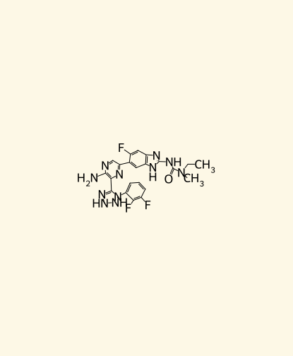 CCN(C)C(=O)Nc1nc2cc(F)c(-c3cnc(N)c(C4=NNNN4c4cccc(F)c4F)n3)cc2[nH]1